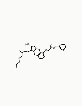 CCCCCC(C)CCC1C2Cc3cccc(OCC(=O)OCc4ccccc4)c3CC2C[C@H]1O